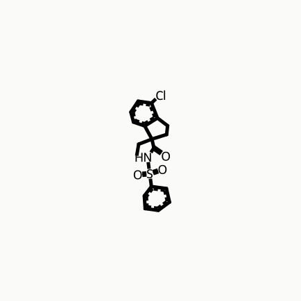 CCC1(C(=O)NS(=O)(=O)c2ccccc2)CCc2c(Cl)cccc21